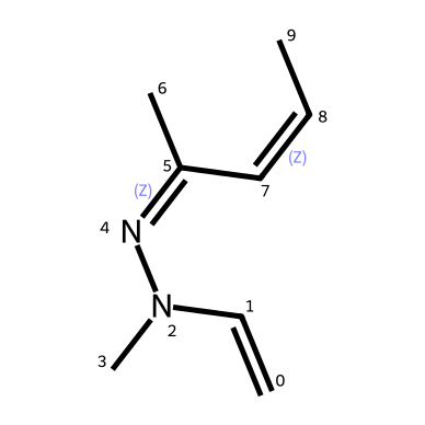 C=CN(C)/N=C(C)\C=C/C